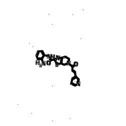 Nc1ccccc1NC(=O)c1nc2c(s1)CN(C(=O)C=Cc1cccnc1)CC2